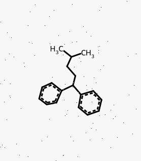 CC(C)CC[C](c1ccccc1)c1ccccc1